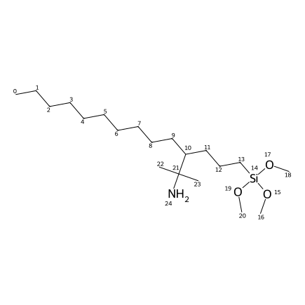 CCCCCCCCCCC(CCC[Si](OC)(OC)OC)C(C)(C)N